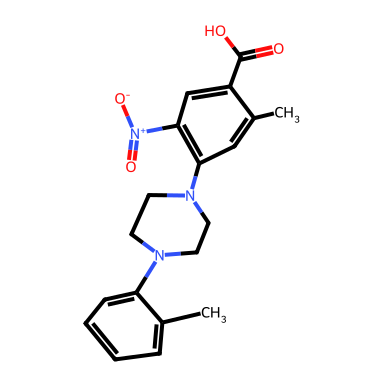 Cc1cc(N2CCN(c3ccccc3C)CC2)c([N+](=O)[O-])cc1C(=O)O